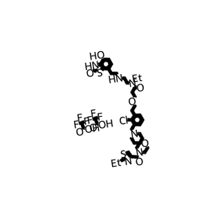 CCc1nc(C(=O)N2CCOC3(CCN(Cc4cccc(CCOCCC(=O)N(CC)CCNCCc5ccc(O)c6[nH]c(=O)sc56)c4Cl)CC3)C2)cs1.O=C(O)C(F)(F)F.O=C(O)C(F)(F)F